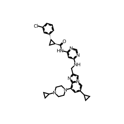 O=C(Nc1cc(NCc2cn3cc(C4CC4)cc(N4CCN(C5CC5)CC4)c3n2)ncn1)[C@H]1C[C@@H]1c1cccc(Cl)c1